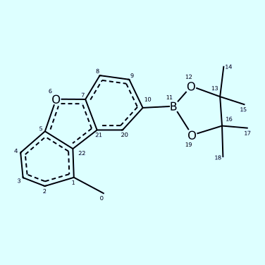 Cc1cccc2oc3ccc(B4OC(C)(C)C(C)(C)O4)cc3c12